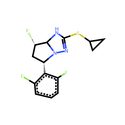 Fc1cccc(F)c1[C@@H]1C[C@H](F)C2NC(SC3CC3)=NN21